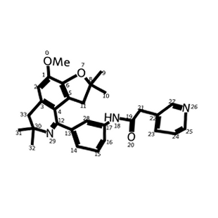 COc1cc2c(c3c1OC(C)(C)C3)C(c1cccc(NC(=O)Cc3cccnc3)c1)=NC(C)(C)C2